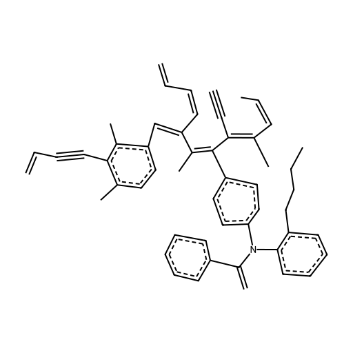 C#CC(/C(=C(/C)C(=Cc1ccc(C)c(C#CC=C)c1C)/C=C\C=C)c1ccc(N(C(=C)c2ccccc2)c2ccccc2CCCC)cc1)=C(C)\C=C/C